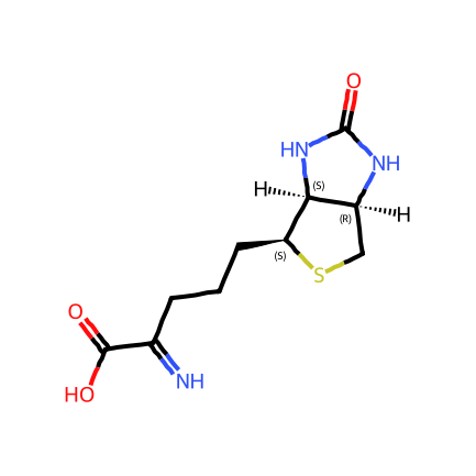 N=C(CCC[C@@H]1SC[C@@H]2NC(=O)N[C@@H]21)C(=O)O